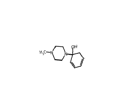 CN1CCN(C2(O)C=CC=[C]C2)CC1